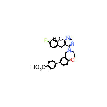 Cc1ncnc(N2CCOc3ccc(-c4ccc(C(=O)O)cc4)cc3C2)c1Cc1ccc(F)cc1